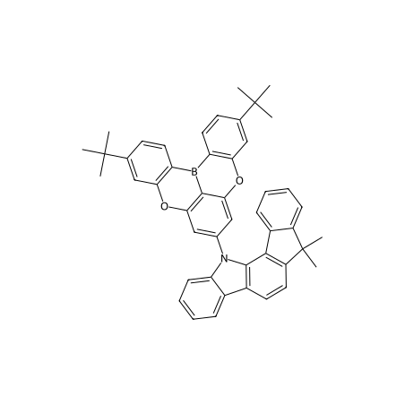 CC(C)(C)c1ccc2c(c1)Oc1cc(-n3c4ccccc4c4ccc5c(c43)-c3ccccc3C5(C)C)cc3c1B2c1ccc(C(C)(C)C)cc1O3